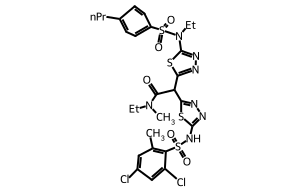 CCCc1ccc(S(=O)(=O)N(CC)c2nnc(C(C(=O)N(C)CC)c3nnc(NS(=O)(=O)c4c(C)cc(Cl)cc4Cl)s3)s2)cc1